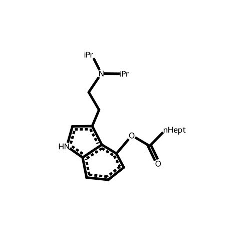 CCCCCCCC(=O)Oc1cccc2[nH]cc(CCN(C(C)C)C(C)C)c12